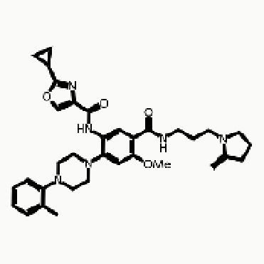 C=C1CCCN1CCCNC(=O)c1cc(NC(=O)c2coc(C3CC3)n2)c(N2CCN(c3ccccc3C)CC2)cc1OC